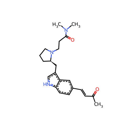 CC(=O)/C=C/c1ccc2[nH]cc(C[C@H]3CCCN3CCC(=O)N(C)C)c2c1